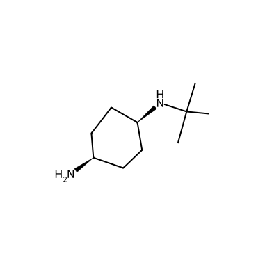 CC(C)(C)N[C@H]1CC[C@@H](N)CC1